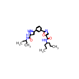 CCCC(CCC)NC(=O)c1cnc(-c2cccc(-c3cc(C(=O)NC(CC)CC)n[nH]3)c2)o1